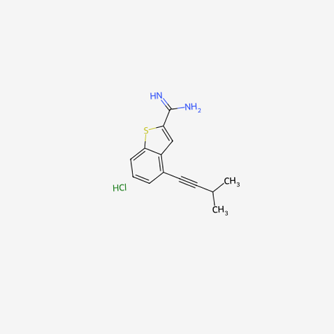 CC(C)C#Cc1cccc2sc(C(=N)N)cc12.Cl